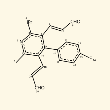 Cc1nc(C(C)C)c(/C=C/C=O)c(-c2ccc(F)cc2)c1/C=C/C=O